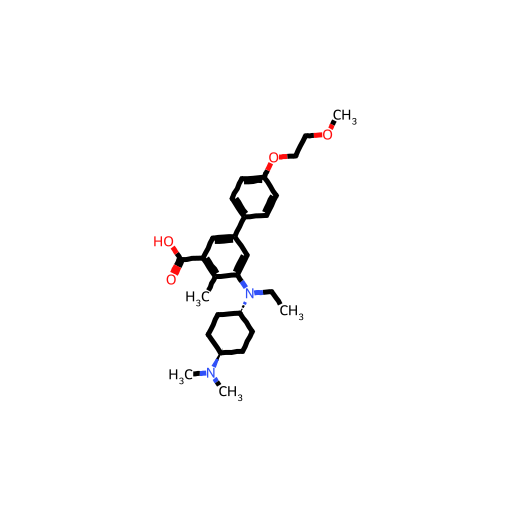 CCN(c1cc(-c2ccc(OCCOC)cc2)cc(C(=O)O)c1C)[C@H]1CC[C@H](N(C)C)CC1